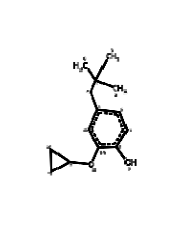 CC(C)(C)Cc1ccc(O)c(OC2CC2)c1